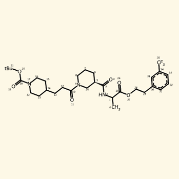 CC(NC(=O)[C@@H]1CCCN(C(=O)CCC2CCN(C(=O)OC(C)(C)C)CC2)C1)C(=O)OCCc1cccc(C(F)(F)F)c1